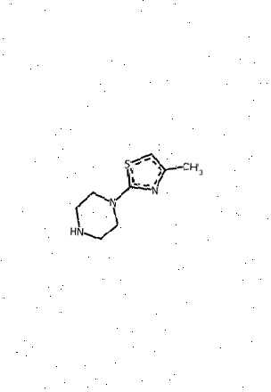 Cc1csc(N2CCNCC2)n1